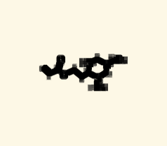 C=CC(=O)OCCC1NCN(C(C)CC)CN1C(C)CC